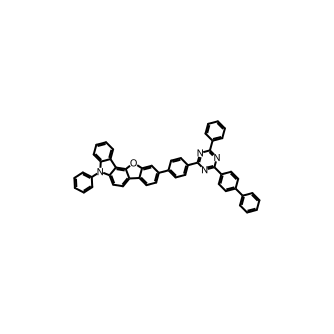 c1ccc(-c2ccc(-c3nc(-c4ccccc4)nc(-c4ccc(-c5ccc6c(c5)oc5c6ccc6c5c5ccccc5n6-c5ccccc5)cc4)n3)cc2)cc1